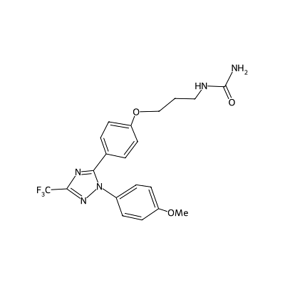 COc1ccc(-n2nc(C(F)(F)F)nc2-c2ccc(OCCCNC(N)=O)cc2)cc1